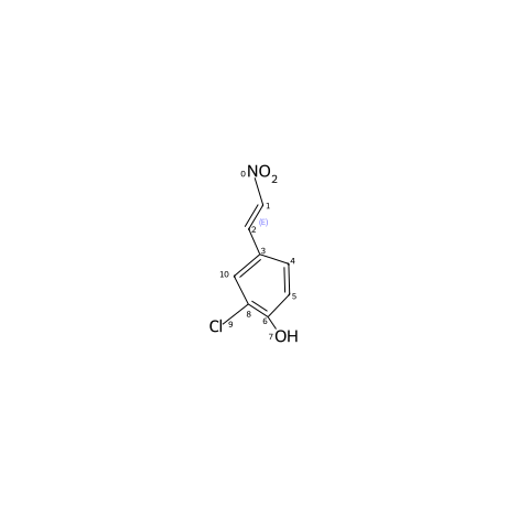 O=[N+]([O-])/C=C/c1ccc(O)c(Cl)c1